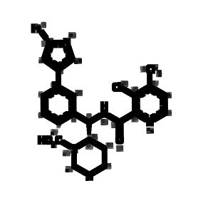 CCn1cc(-c2cccc(C(NC(=O)c3nccc(C(F)(F)F)c3Cl)[C@@H]3CCCCN3C(=O)O)c2)cn1